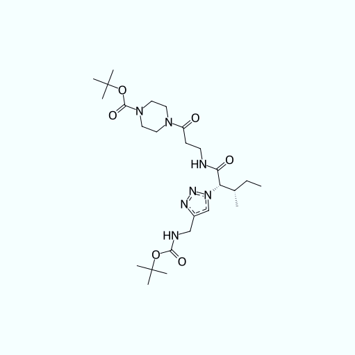 CC[C@H](C)[C@@H](C(=O)NCCC(=O)N1CCN(C(=O)OC(C)(C)C)CC1)n1cc(CNC(=O)OC(C)(C)C)nn1